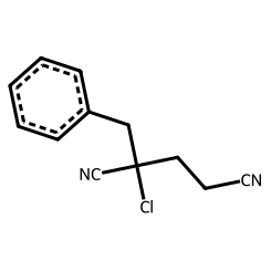 N#CCCC(Cl)(C#N)Cc1ccccc1